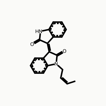 C/C=C\CN1C(=O)/C(=C2/C(=O)Nc3ccccc32)c2ccccc21